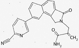 C=C(CN1Cc2c(ccc3ccc(-c4ccc(C#N)nc4)cc23)C1=O)C(N)=O